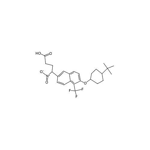 CC(C)(C)C1CCC(Oc2ccc3cc(C(CCC(=O)O)[N+](=O)[O-])ccc3c2C(F)(F)F)CC1